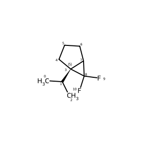 CC(C)[C@@]12CCCC1C2(F)F